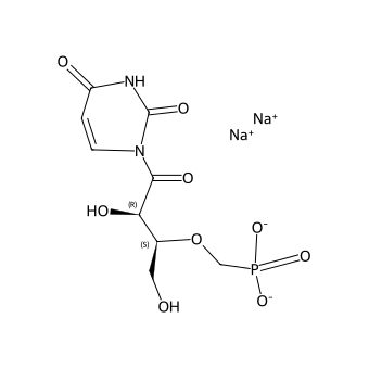 O=C([C@H](O)[C@H](CO)OCP(=O)([O-])[O-])n1ccc(=O)[nH]c1=O.[Na+].[Na+]